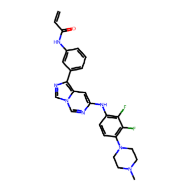 C=CC(=O)Nc1cccc(-c2ncn3cnc(Nc4ccc(N5CCN(C)CC5)c(F)c4F)cc23)c1